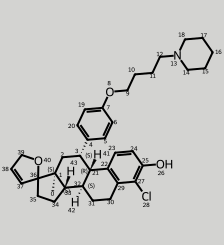 C[C@]12C[C@H](c3ccc(OCCCCN4CCCCC4)cc3)[C@@H]3c4ccc(O)c(Cl)c4CC[C@H]3[C@@H]1CCC21C=CCO1